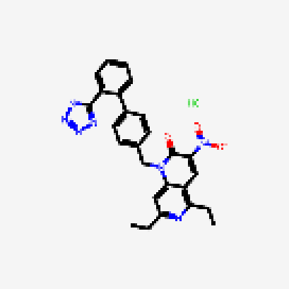 CCc1cc2c(cc([N+](=O)[O-])c(=O)n2Cc2ccc(-c3ccccc3-c3nnn[nH]3)cc2)c(CC)n1.Cl